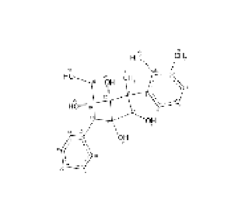 Cc1cccc(C2(C)C(O)[C@@]3(O)C(c4ccccc4)[C@@](O)(CO)[C@@]23O)c1C